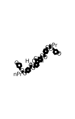 CCCC(OCC1CCC2OC2C1)Oc1ccc(C(=O)Oc2ccc3c(c2)C(C)(C)c2cc(OC(=O)c4ccc(OC(CCC)OCC5CCC6OC6C5)cc4)ccc2-3)cc1